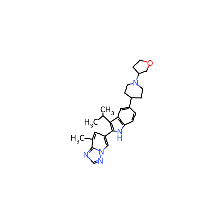 Cc1cc(-c2[nH]c3ccc(C4CCN(C5CCOC5)CC4)cc3c2C(C)C)cn2ncnc12